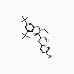 CCN(Cc1cc(C(C)(C)C)cc(C(C)(C)C)c1)C(=O)C(C=O)Cc1ccc(O)cc1